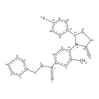 Cc1cc(C(=O)OCc2ccccc2)ccc1N1C(=O)CSC1c1ccc(F)cc1